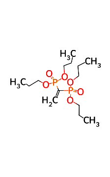 C=C(P(=O)(OCCC)OCCC)P(=O)(OCCC)OCCC